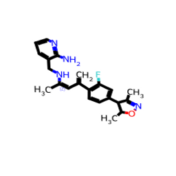 C=C(/C=C(/C)NCc1cccnc1N)c1ccc(C2C(C)=NOC2C)cc1F